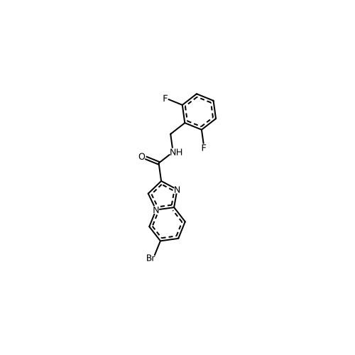 O=C(NCc1c(F)cccc1F)c1cn2cc(Br)ccc2n1